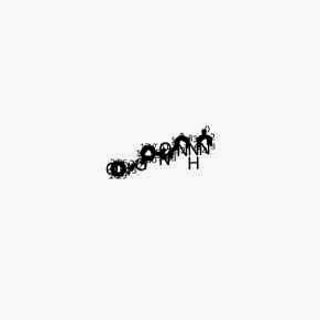 Cc1ccnc(Nc2cccc(-c3cnc(-c4cccc(OCCN5CCOCC5)c4)o3)n2)c1